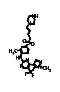 Cc1cc(S(=O)(=O)CCCCN2CCNCC2)ccc1Nc1ncc(C(F)(F)F)c(-c2cnn(C)c2)n1